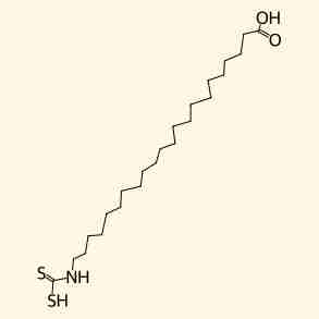 O=C(O)CCCCCCCCCCCCCCCCCCCCCNC(=S)S